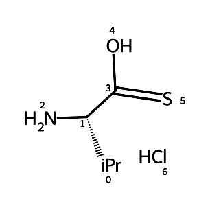 CC(C)[C@H](N)C(O)=S.Cl